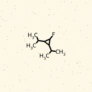 CC(C)C1C(F)C1C(C)C